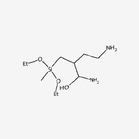 CCO[Si](C)(CC(CCN)C(N)O)OCC